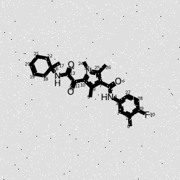 Cc1cc(NC(=O)c2c(C)c(C(=O)C(=O)NC3(C)CC=CCC3)n(C)c2C)ccc1F